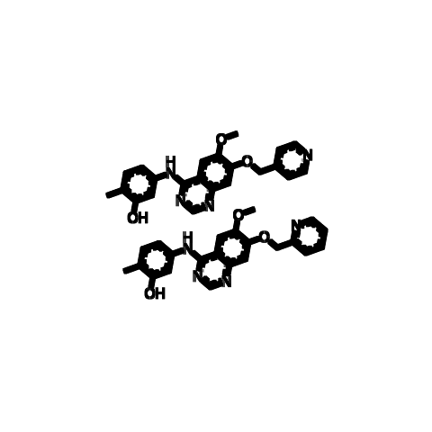 COc1cc2c(Nc3ccc(C)c(O)c3)ncnc2cc1OCc1ccccn1.COc1cc2c(Nc3ccc(C)c(O)c3)ncnc2cc1OCc1ccncc1